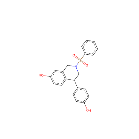 O=S(=O)(c1ccccc1)N1Cc2cc(O)ccc2C(c2ccc(O)cc2)C1